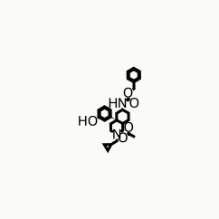 CC(=O)O[C@]12CC[C@@H](NC(=O)OCc3ccccc3)C[C@]1(c1cccc(O)c1)CCN(CC1CC1)C2